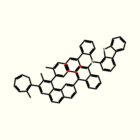 CC1=C(c2cc3ccc4ccc(-c5ccc(N(c6ccccc6-c6ccccc6)c6cccc7c6sc6ccccc67)c6ccccc56)cc4c3c(-c3ccccc3C)c2C)CC=CC=C1